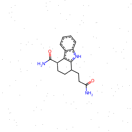 NC(=O)CCC1CCC(C(N)=O)c2c1[nH]c1ccccc21